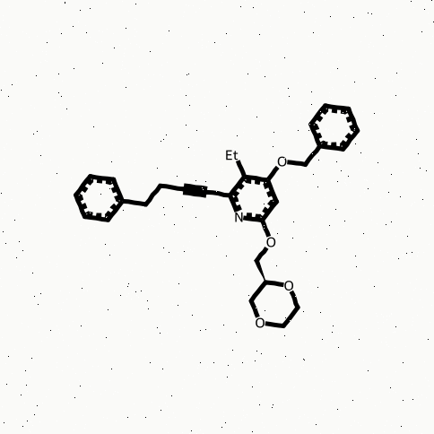 CCc1c(OCc2ccccc2)cc(OC[C@@H]2COCCO2)nc1C#CCCc1ccccc1